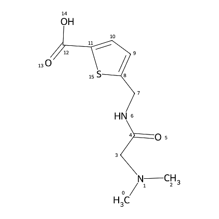 CN(C)CC(=O)NCc1ccc(C(=O)O)s1